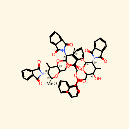 CO[C@H]1OC(COC(=O)c2ccccc2)[C@H](OC2OC(COC(=O)c3ccccc3)C(O[C@H]3OC(COC(=O)c4ccccc4)[C@H](O)C(C)[C@H]3N3C(=O)c4ccccc4C3=O)[C@H](C)[C@@H]2N2C(=O)c3ccccc3C2=O)C(C)[C@H]1N1C(=O)c2ccccc2C1=O